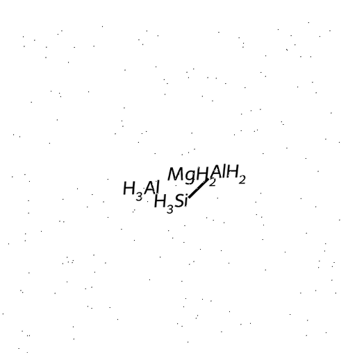 [AlH2][SiH3].[AlH3].[MgH2]